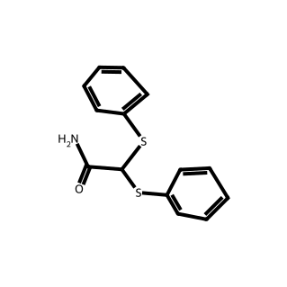 NC(=O)C(Sc1ccccc1)Sc1ccccc1